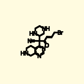 N#CC(C(=O)C=CCBr)(c1ncnc2c1CCNC2)C1CNCCN1